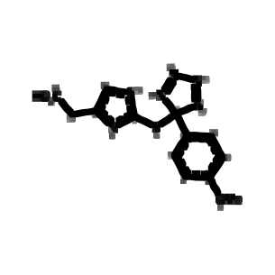 COc1ccc(C2(Sc3nc(CC(=O)O)cs3)N=NN=N2)cc1